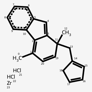 CC1=C2C(=Cc3ccccc32)C(C)(CC2=CC=CC2)C=C1.Cl.Cl.[Zr]